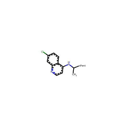 CCCCCC(C)Nc1ccnc2cc(Cl)ccc12